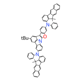 CC(C)(C)c1cc2c3cc(N(c4ccccc4)c4cccc5c4C(C)(C)c4cc6ccccc6cc4-5)ccc3n3c4oc5cc(N(c6ccccc6)c6cccc7c6C(C)(C)c6cc8ccccc8cc6-7)ccc5c4c(c1)c23